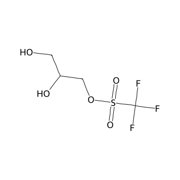 O=S(=O)(OCC(O)CO)C(F)(F)F